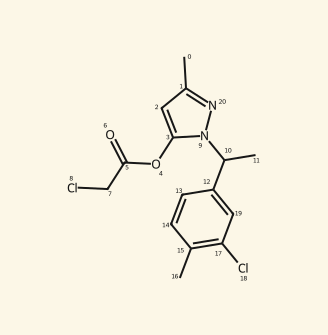 Cc1cc(OC(=O)CCl)n(C(C)c2ccc(C)c(Cl)c2)n1